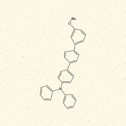 CCC(C)Oc1cccc(-c2ccc(-c3ccc(N(c4ccccc4)c4ccccc4)cc3)cc2)c1